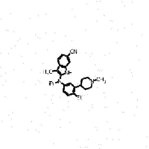 CCc1ccc(N(c2[nH]c3cc(C#N)ccc3c2C)C(C)C)cc1C1CCN(C)CC1